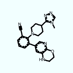 Cn1cnnc1C1CCN(c2c(C#N)cccc2-c2cnc3c(c2)NCCO3)CC1